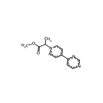 COC(=O)C(C)[n+]1ccc(-c2ccncn2)cn1